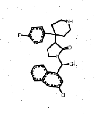 C[C@@H](c1cc(Cl)cc2ccccc12)N1CCC(C2(c3ccc(F)cc3)CCNCC2)C1=O